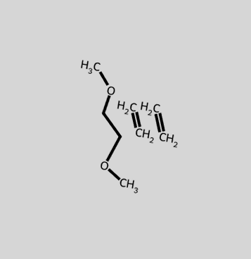 C=C.C=C.COCCOC